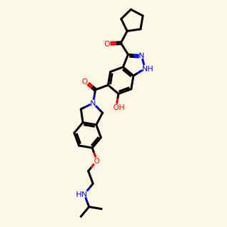 CC(C)NCCOc1ccc2c(c1)CN(C(=O)c1cc3c(C(=O)C4CCCC4)n[nH]c3cc1O)C2